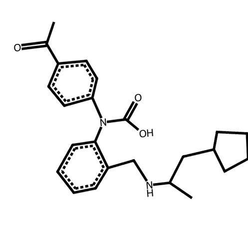 CC(=O)c1ccc(N(C(=O)O)c2ccccc2CNC(C)CC2CCCC2)cc1